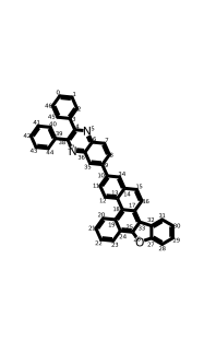 c1ccc(-c2nc3ccc(-c4ccc5c(ccc6c5c5ccccc5c5oc7ccccc7c65)c4)cc3nc2-c2ccccc2)cc1